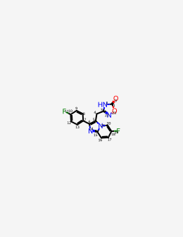 O=c1[nH]c(Cc2c(-c3ccc(F)cc3)nc3ccc(F)cn23)no1